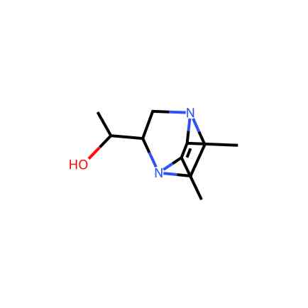 CC1=C(C)N2CCN1CC2C(C)O